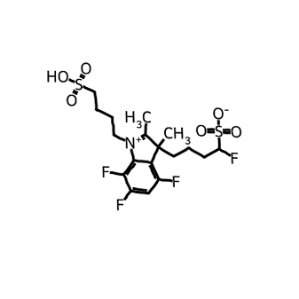 CC1=[N+](CCCCS(=O)(=O)O)c2c(F)c(F)cc(F)c2C1(C)CCCC(F)S(=O)(=O)[O-]